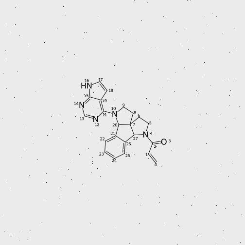 C=CC(=O)N1CCC23CCN(c4ncnc5[nH]ccc45)C2c2ccccc2C13